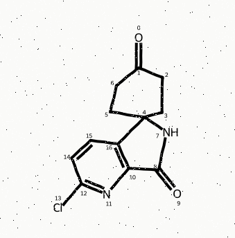 O=C1CCC2(CC1)NC(=O)c1nc(Cl)ccc12